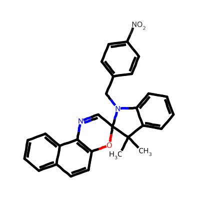 CC1(C)c2ccccc2N(Cc2ccc([N+](=O)[O-])cc2)C12C=Nc1c(ccc3ccccc13)O2